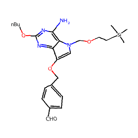 CCCCOc1nc(N)c2c(n1)c(OCc1ccc(C=O)cc1)cn2COCC[Si](C)(C)C